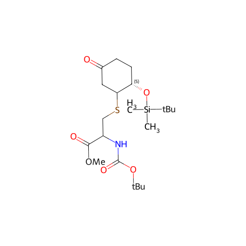 COC(=O)C(CSC1CC(=O)CC[C@@H]1O[Si](C)(C)C(C)(C)C)NC(=O)OC(C)(C)C